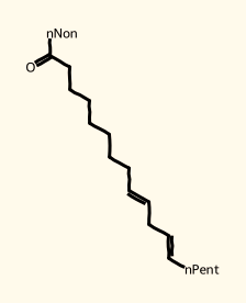 CCCCCC=CCC=CCCCCCCCC(=O)CCCCCCCCC